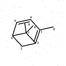 CC1=C2CC(C=C1)C2(C)C